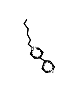 CCCCCC[n+]1ccc(-c2ccncc2)cc1